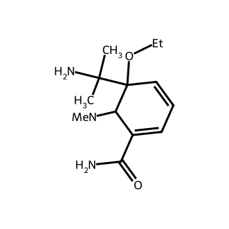 CCOC1(C(C)(C)N)C=CC=C(C(N)=O)C1NC